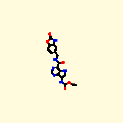 CC(C)(C)OC(=O)Nc1c[nH]c2c(C(=O)NCc3ccc4oc(=O)[nH]c4c3)ncnc12